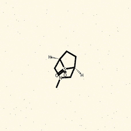 CN1C[C@H]2CC[C@@H](C1)S2(=O)=O